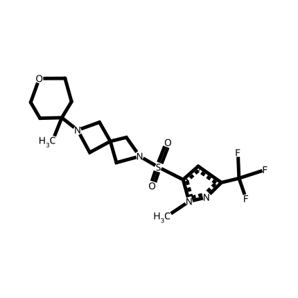 Cn1nc(C(F)(F)F)cc1S(=O)(=O)N1CC2(CN(C3(C)CCOCC3)C2)C1